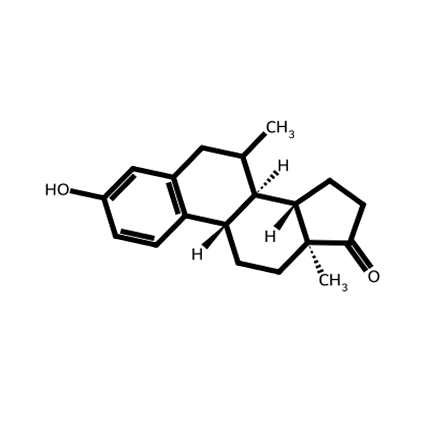 CC1Cc2cc(O)ccc2[C@H]2CC[C@]3(C)C(=O)CC[C@H]3[C@H]12